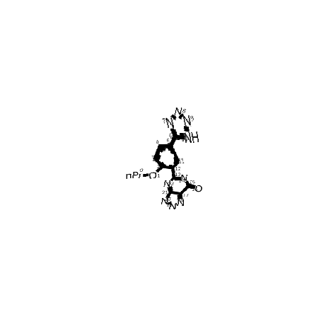 CCCOc1ccc(-c2nnn[nH]2)cc1C1=NC(=O)C2=NN=NC2=N1